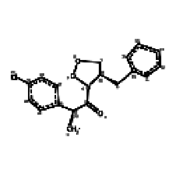 [CH2][C@H](C(=O)N1OOC[C@H]1Cc1ccccc1)c1ccc(Cl)cc1